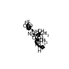 CC(C)(C)C(C=C=NC(=S)NC1CCC1)C(=O)N1C[C@H]2C([C@H]1C(=O)N[C@H](C#N)C[C@@H]1CCN(C(=O)C(F)(F)F)C1=O)C2(C)C